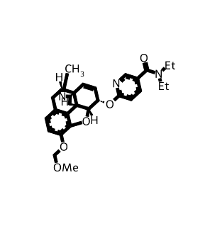 CCN(CC)C(=O)c1ccc(O[C@H]2C=C[C@H]3[C@H]4Cc5ccc(OCOC)c6c5[C@@]3(CCN4C)[C@H]2O6)nc1